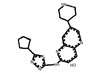 Cl.c1nc2ccc(Nc3nnc(C4CCCC4)s3)nc2cc1C1CCNCC1